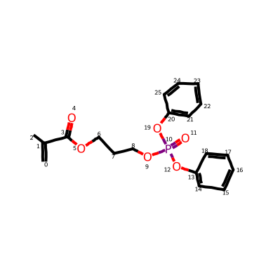 C=C(C)C(=O)OCCCOP(=O)(Oc1ccccc1)Oc1ccccc1